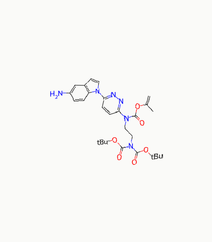 C=C(C)OC(=O)N(CCN(C(=O)OC(C)(C)C)C(=O)OC(C)(C)C)c1ccc(-n2ccc3cc(N)ccc32)nn1